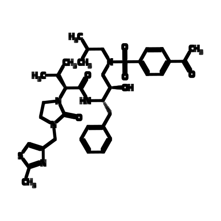 CC(=O)c1ccc(S(=O)(=O)N(CC(C)C)C[C@@H](O)[C@H](Cc2ccccc2)NC(=O)[C@H](C(C)C)N2CCN(Cc3csc(C)n3)C2=O)cc1